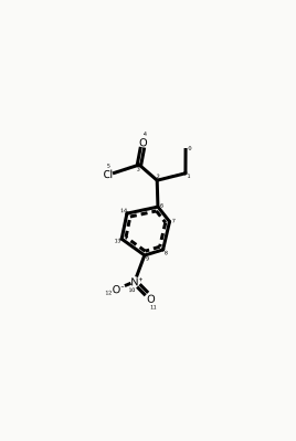 CCC(C(=O)Cl)c1ccc([N+](=O)[O-])cc1